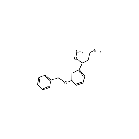 COC(CCN)c1cccc(OCc2ccccc2)c1